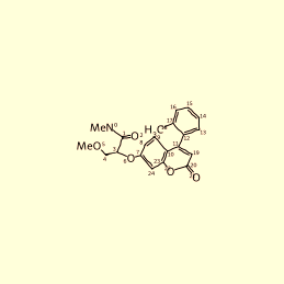 CNC(=O)[C@H](COC)Oc1ccc2c(-c3ccccc3C)cc(=O)oc2c1